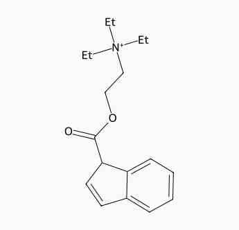 CC[N+](CC)(CC)CCOC(=O)C1C=Cc2ccccc21